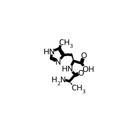 Cc1[nH]cnc1C[C@H](NC(=O)[C@H](C)N)C(=O)O